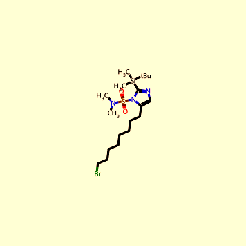 CN(C)S(=O)(=O)n1c(CCCCCCCCBr)cnc1[Si](C)(C)C(C)(C)C